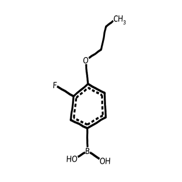 CCCOc1ccc(B(O)O)cc1F